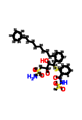 CS(=O)(=O)NC(=O)c1ccccc1SC(c1ccccc1CCCCCCCCc1ccccc1)C(O)C(=O)CS(N)(=O)=O